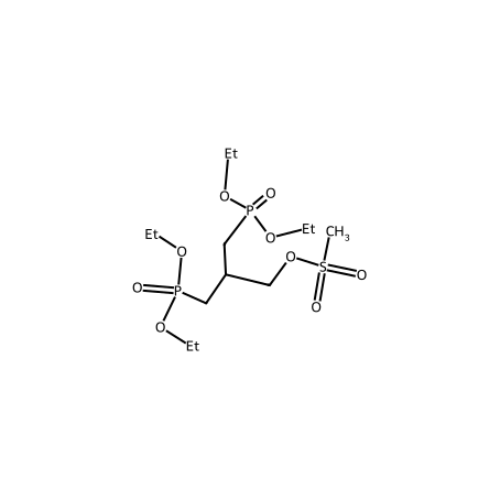 CCOP(=O)(CC(COS(C)(=O)=O)CP(=O)(OCC)OCC)OCC